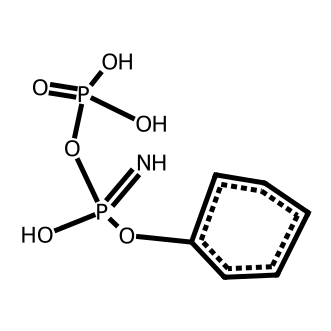 N=P(O)(Oc1ccccc1)OP(=O)(O)O